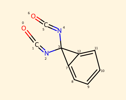 O=C=NC1(N=C=O)c2ccccc21